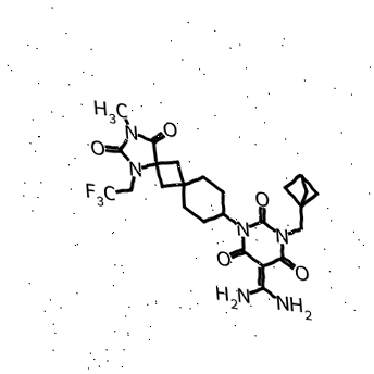 CN1C(=O)N(CC(F)(F)F)C2(CC3(CCC(N4C(=O)C(=C(N)N)C(=O)N(CC56CC(C5)C6)C4=O)CC3)C2)C1=O